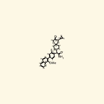 COc1c(-c2ccc(C(C(N)=O)N3CCC4(CC3)CN(C3CC3)C(=O)CO4)c(F)c2)ccc2cccnc12